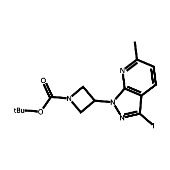 Cc1ccc2c(I)nn(C3CN(C(=O)OC(C)(C)C)C3)c2n1